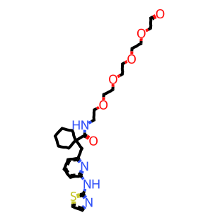 O=CCOCCOCCOCCOCCNC(=O)C1(Cc2cccc(Nc3nccs3)n2)CCCCC1